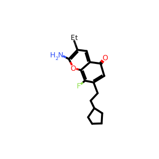 CCc1cc2c(=O)cc(CCC3CCCC3)c(F)c-2oc1N